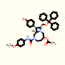 COc1ccc(NC(=O)N2CC[C@H](OC(C)=O)CN3[C@H](COC(c4ccccc4)(c4ccccc4)c4ccccc4)[C@H](c4ccc(Br)cc4)[C@@H]3C2)cc1